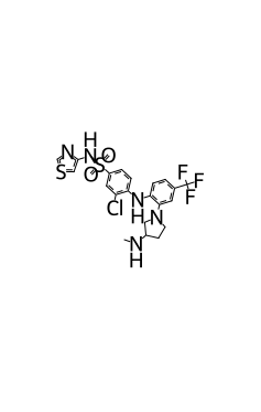 CNC1CCN(c2cc(C(F)(F)F)ccc2Nc2ccc(S(=O)(=O)Nc3cscn3)cc2Cl)C1